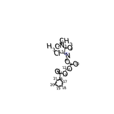 CN(C)C(=O)/C(Cl)=N/OC(=O)OCOC(=O)c1ccccc1